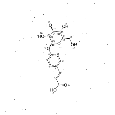 O=C(O)C=Cc1ccc(O[C@@H]2O[C@H](CO)[C@@H](O)[C@H](O)[C@H]2O)cc1